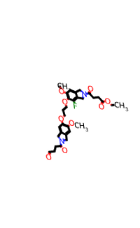 CCOC(=O)CCC(=O)N1Cc2cc(OC)c(OCCCOc3cc4c(cc3OC)CN(C(=O)CCC=O)C4)c(F)c2C1